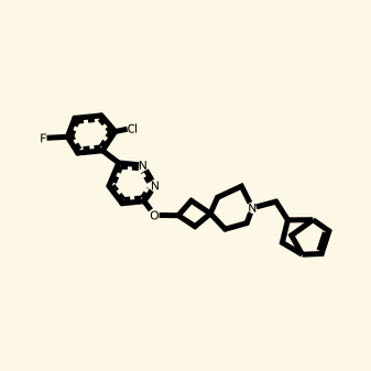 Fc1ccc(Cl)c(-c2ccc(OC3CC4(CCN(CC5CC6C=CC5C6)CC4)C3)nn2)c1